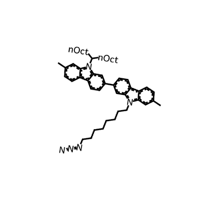 CCCCCCCCC(CCCCCCCC)n1c2cc(C)ccc2c2ccc(-c3ccc4c5ccc(C)cc5n(CCCCCCCCN=[N+]=[N-])c4c3)cc21